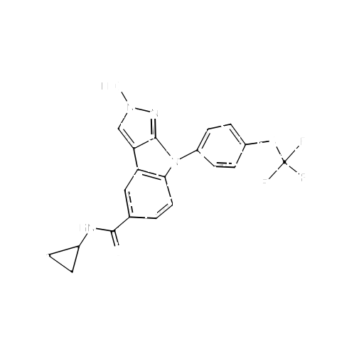 Cn1cc2c3cc(C(=O)NC4CC4)ccc3n(-c3ccc(SC(F)(F)F)cc3)c2n1